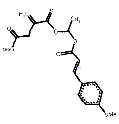 C=C(CC(=O)OC)C(=O)OC(C)OC(=O)/C=C/c1ccc(OC)cc1